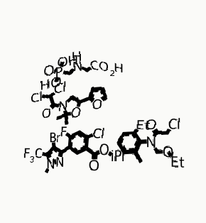 CC(C)OC(=O)c1cc(-c2nn(C)c(C(F)(F)F)c2Br)c(F)cc1Cl.CC1(C)OC(c2ccco2)CN1C(=O)C(Cl)Cl.CCOCN(C(=O)CCl)c1c(C)cccc1CC.O=C(O)CNCP(=O)(O)O